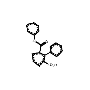 O=C(O)c1cccc(C(=O)Oc2ccccc2)c1-c1ccccc1